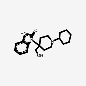 O=c1[nH]c2ccccc2n1C1(CO)CCN(C2CCCCC2)CC1